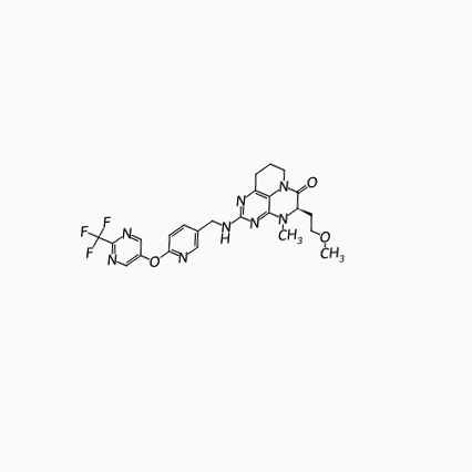 COCC[C@@H]1C(=O)N2CCCc3nc(NCc4ccc(Oc5cnc(C(F)(F)F)nc5)nc4)nc(c32)N1C